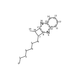 CCCCCCCC1c2nc3ccccc3nc2C1C